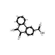 O=C(O)c1ccc2c(c1)-c1ccccc1C(=O)C2=O